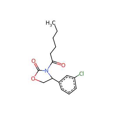 CCCCCC(=O)N1C(=O)OCC1c1cccc(Cl)c1